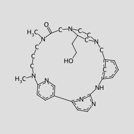 CN1CCCN(C)c2ccc(cn2)-c2ccnc(n2)Nc2cccc(c2)CN2CCN(CC1=O)C(CCO)C2